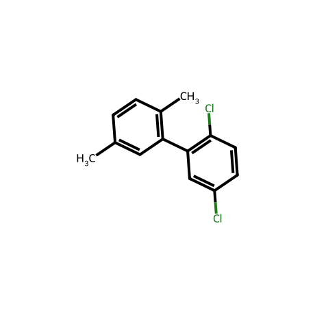 Cc1ccc(C)c(-c2cc(Cl)ccc2Cl)c1